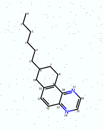 CCCCCCC1CCc2c(ccc3nccnc23)C1